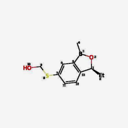 CC[C@@H]1OB(C)c2cc(SCO)ccc21